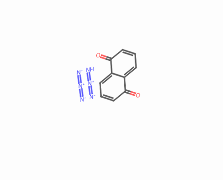 O=C1C=CC=C2C(=O)C=CC=C12.[N-]=[N+]=N.[N-]=[N+]=[N-]